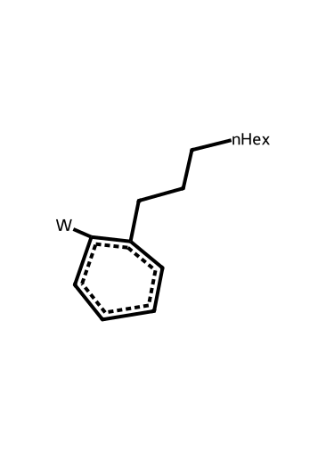 CCCCCCCCCc1cccc[c]1[W]